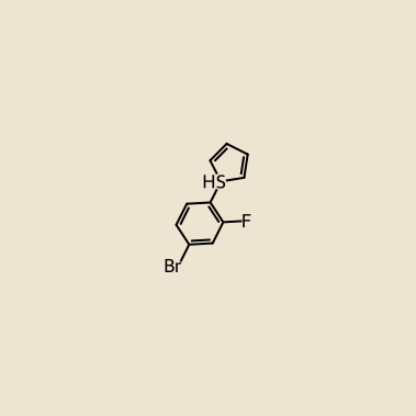 Fc1cc(Br)ccc1[SH]1C=CC=C1